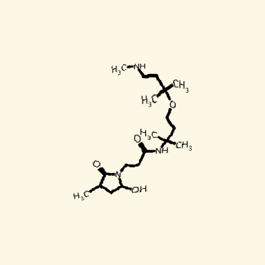 CNCCC(C)(C)OCCC(C)(C)NC(=O)CCN1C(=O)C(C)CC1O